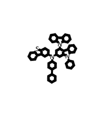 c1ccc(-c2ccc(N(c3ccc4sc5ccccc5c4c3)c3cc(-n4c5ccccc5c5ccccc54)c4c5ccccc5n(-c5ccccc5)c4c3)cc2)cc1